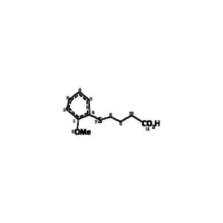 COc1ccccc1SCCCC(=O)O